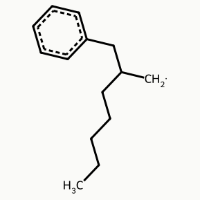 [CH2]C(CCCCC)Cc1ccccc1